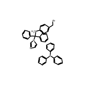 CC(C)Cc1ccc([SiH2]C(c2ccccc2)(c2ccccc2)n2ccnc2)cc1.c1ccc(B(c2ccccc2)c2ccccc2)cc1